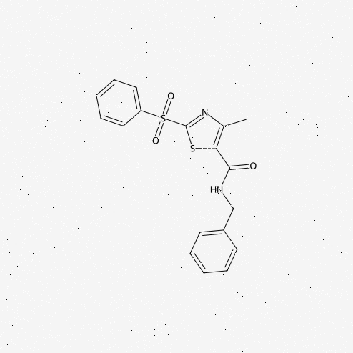 Cc1nc(S(=O)(=O)c2ccccc2)sc1C(=O)NCc1ccccc1